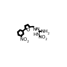 NC(=NN=Cc1ccc(-c2cccc([N+](=O)[O-])c2)o1)N[N+](=O)[O-]